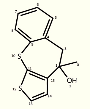 CC1(O)Cc2ccccc2Sc2sccc21